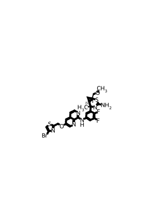 COC[C@]12C[C@H]1[C@@](C)(c1cc(Nc3nccc4cc(OCc5nc(Br)cs5)cnc34)cc(F)c1F)N=C(N)S2